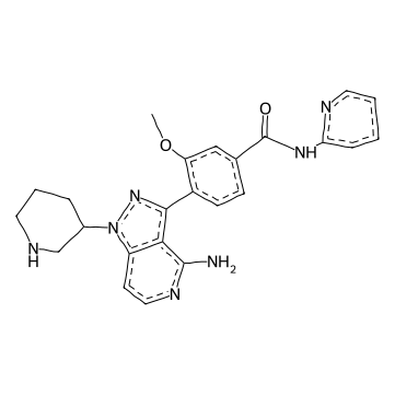 COc1cc(C(=O)Nc2ccccn2)ccc1-c1nn(C2CCCNC2)c2ccnc(N)c12